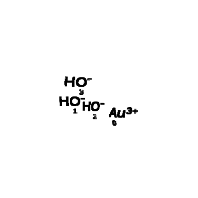 [Au+3].[OH-].[OH-].[OH-]